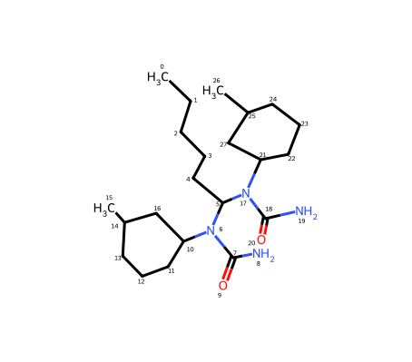 CCCCCC(N(C(N)=O)C1CCCC(C)C1)N(C(N)=O)C1CCCC(C)C1